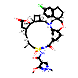 COc1nn(C)cc1C(=O)N[S@@]1(=O)=NC(=O)c2ccc3c(c2)N(C[C@@H]2CC[C@H]2[C@H]2OC(=O)C[C@@H]2CC[C@H](C)C1)C[C@@]1(CCCc2cc(Cl)ccc21)CO3